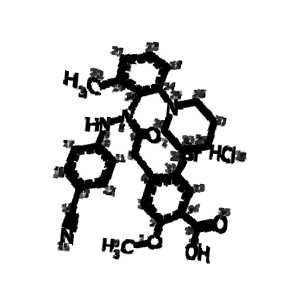 COc1cc(CC(=O)N(Nc2ccc(C#N)cc2)c2c(C)cccc2N2CCCCC2)c(Br)cc1C(=O)O.Cl